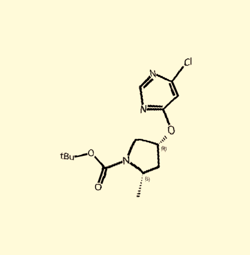 C[C@H]1C[C@@H](Oc2cc(Cl)ncn2)CN1C(=O)OC(C)(C)C